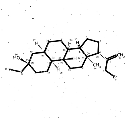 C=C(CBr)[C@H]1CC[C@H]2[C@@H]3CC[C@@H]4C[C@@](O)(CF)CC[C@@H]4[C@H]3CC[C@]12C